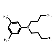 CCCCN(CCCC)c1cc(C)cc(C)c1